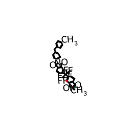 Cc1ccc(Cc2ccc(N3C(=O)c4ccc(C(c5ccc6c(c5)C(=O)N(C)C6=O)(C(F)(F)F)C(F)(F)F)cc4C3=O)cc2)cc1